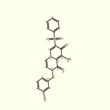 O=c1c(S(=O)(=O)c2ccccc2)cn2ccn(Cc3cccc(Cl)c3)c(=O)c2c1O